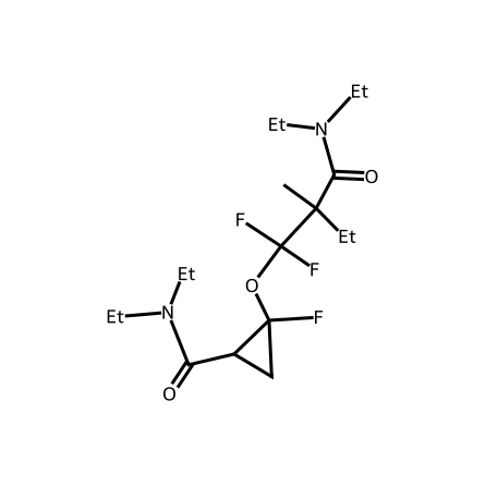 CCN(CC)C(=O)C1CC1(F)OC(F)(F)C(C)(CC)C(=O)N(CC)CC